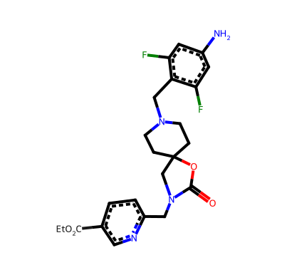 CCOC(=O)c1ccc(CN2CC3(CCN(Cc4c(F)cc(N)cc4F)CC3)OC2=O)nc1